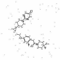 O=C(Cc1ccc(OCC[C@@H]2CC2C2CCN(c3ncc(Cl)cn3)CC2)cc1F)N1CCC(F)(F)CC1